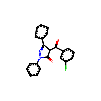 O=C(c1cccc(Cl)c1)C1C(=O)N(c2ccccc2)N=C1c1ccccc1